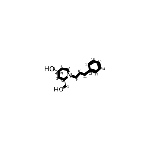 OC[C@@H]1C[C@H](O)CCN1CCCc1ccccc1